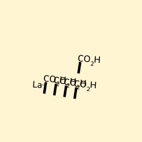 CC(=O)O.CC(=O)O.CC(=O)O.CC(=O)O.CC(=O)O.[La]